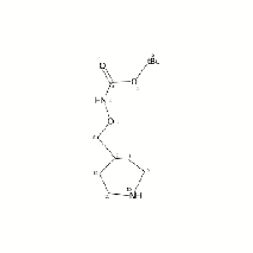 CC(C)(C)OC(=O)NOCC1CCNCC1